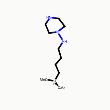 CO[SiH](CCCCNN1CCNCC1)OC